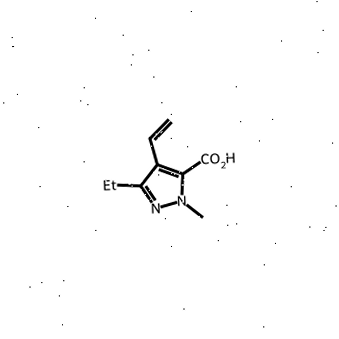 C=Cc1c(CC)nn(C)c1C(=O)O